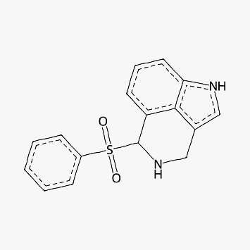 O=S(=O)(c1ccccc1)C1NCc2c[nH]c3cccc1c23